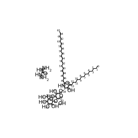 CCCCCCCCCCCCC/C=C/[C@@H](O)[C@H](CO[C@@H]1O[C@H](CO)[C@@H](O[C@@H]2O[C@H](CO)[C@H](O)[C@H](O)[C@H]2O)[C@H](O)[C@H]1O)NC(=O)CCCCCCCCCCCCCCCCCCCCC.NNC(=O)NN